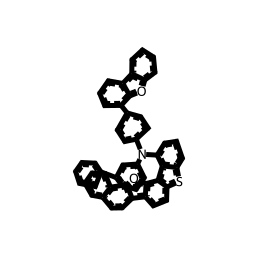 c1ccc(-c2cccc(N(c3ccc(-c4cccc5c4oc4ccccc45)cc3)c3cccc4sc5ccc6c7ccc8ccccc8c7oc6c5c34)c2)cc1